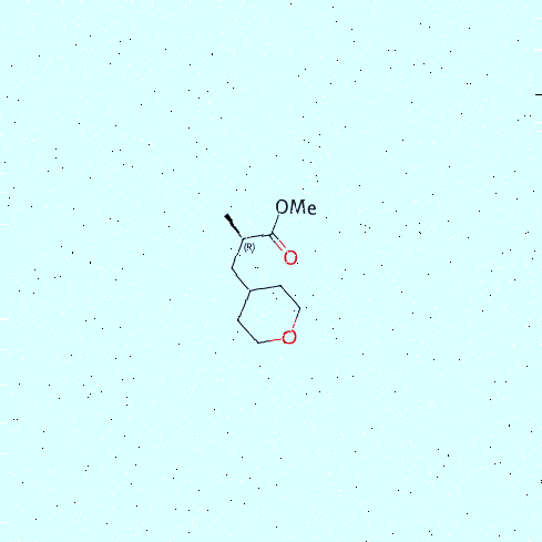 COC(=O)[C@H](C)CC1CCOCC1